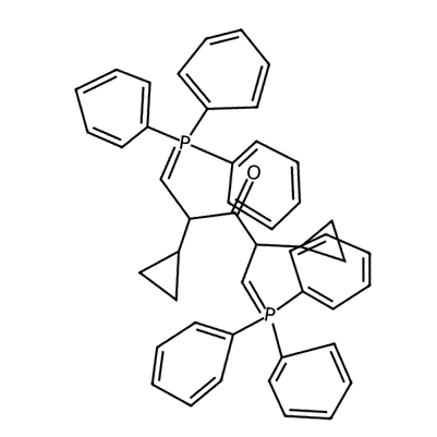 O=C(C(C=P(c1ccccc1)(c1ccccc1)c1ccccc1)C1CC1)C(C=P(c1ccccc1)(c1ccccc1)c1ccccc1)C1CC1